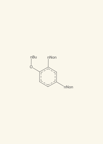 CCCCCCCCCc1ccc(OCCCC)c(CCCCCCCCC)c1